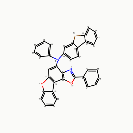 c1ccc(-c2nc3c(N(c4ccccc4)c4ccc5c(c4)sc4ccccc45)cc4oc5ccccc5c4c3o2)cc1